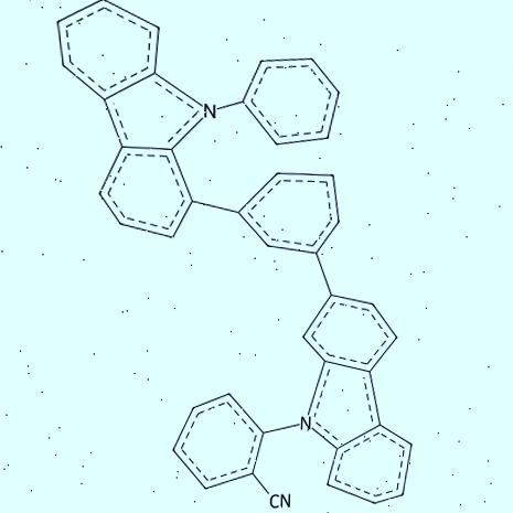 N#Cc1ccccc1-n1c2ccccc2c2ccc(-c3cccc(-c4cccc5c6ccccc6n(-c6ccccc6)c45)c3)cc21